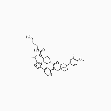 COc1ccc(C23CCC(CN(c4cc(-c5coc(C(C)C)n5)ccn4)C(=O)[C@H]4CC[C@H](OC(=O)NCCCO)CC4)(CC2)CC3)cc1C